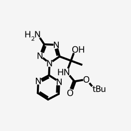 CC(C)(C)OC(=O)NC(C)(O)c1nc(N)nn1-c1ncccn1